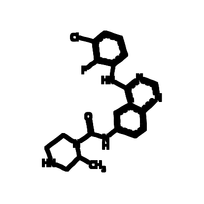 CC1CNCCN1C(=O)Nc1ccc2ncnc(Nc3cccc(Cl)c3F)c2c1